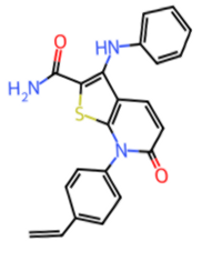 C=Cc1ccc(-n2c(=O)ccc3c(Nc4ccccc4)c(C(N)=O)sc32)cc1